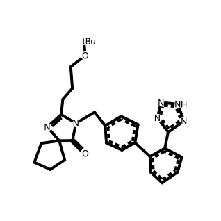 CC(C)(C)OCCCC1=NC2(CCCC2)C(=O)N1Cc1ccc(-c2ccccc2-c2nn[nH]n2)cc1